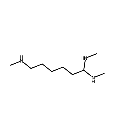 CNCCCCCC(NC)NC